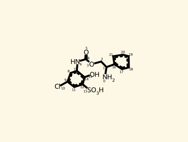 NC(COC(=O)Nc1cc(Cl)cc(S(=O)(=O)O)c1O)c1ccccc1